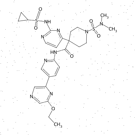 CCOc1cncc(-c2ccc(NC(=O)C3(c4ccnc(NS(=O)(=O)C5CC5)n4)CCN(S(=O)(=O)N(C)C)CC3)nc2)n1